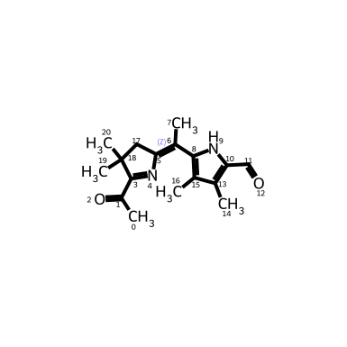 CC(=O)C1=N/C(=C(/C)c2[nH]c(C=O)c(C)c2C)CC1(C)C